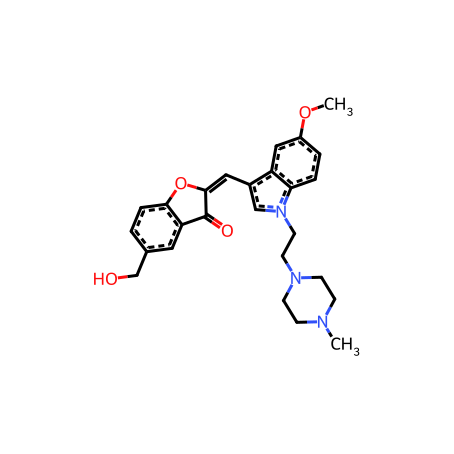 COc1ccc2c(c1)c(C=C1Oc3ccc(CO)cc3C1=O)cn2CCN1CCN(C)CC1